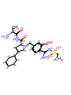 CCS(=O)(=O)N=C(N)c1ccc(CN2CC(C3CCCCC3)C[C@H]2C(=O)NC(=O)[C@H](C)N)cc1O